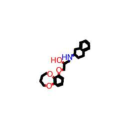 OC(CNC1CCc2ccccc2C1)COc1cccc2c1OCCCCO2